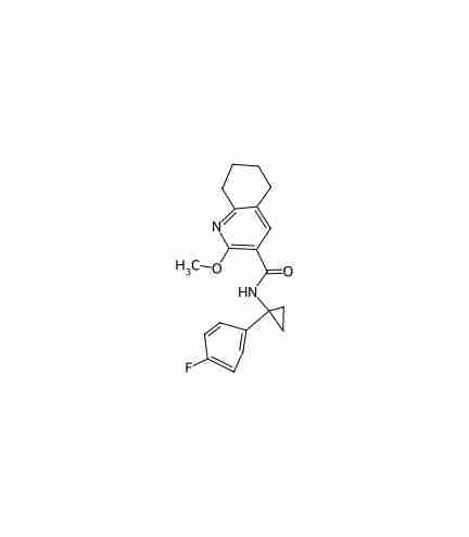 COc1nc2c(cc1C(=O)NC1(c3ccc(F)cc3)CC1)CCCC2